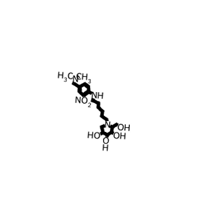 CN(C)Cc1ccc(NCCCCCCN2CC(O)C(O)C(O)C2CO)c([N+](=O)[O-])c1